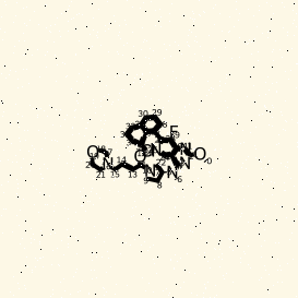 COc1nc(N(C)[C@@H]2CCN(C(=O)/C=C/CN3CCOCC3)C2)c2cnc(-c3cccc4cccc(Cl)c34)c(F)c2n1